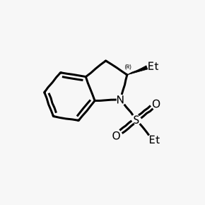 CC[C@@H]1Cc2ccccc2N1S(=O)(=O)CC